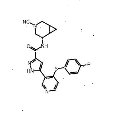 N#CN1CC2CC2[C@@H](NC(=O)c2cc(-c3cnccc3Sc3ccc(F)cc3)[nH]n2)C1